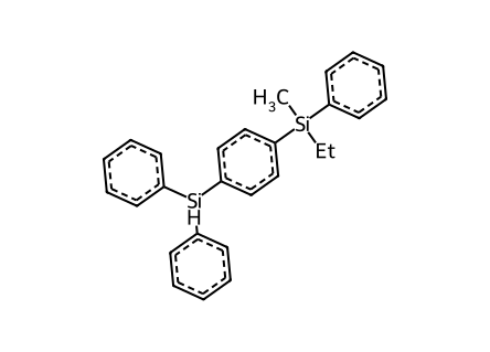 CC[Si](C)(c1ccccc1)c1ccc([SiH](c2ccccc2)c2ccccc2)cc1